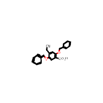 CCOC(=O)c1cc(OCc2ccccc2)c(CC#N)cc1OCc1ccccc1